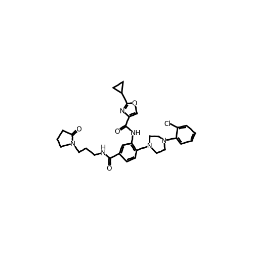 O=C(NCCCN1CCCC1=O)c1ccc(N2CCN(c3ccccc3Cl)CC2)c(NC(=O)c2coc(C3CC3)n2)c1